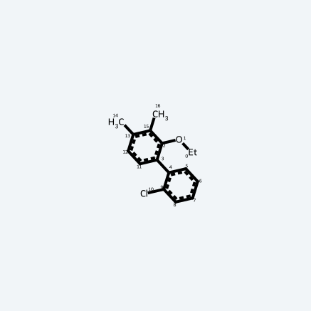 CCOc1c(-c2[c]cccc2Cl)ccc(C)c1C